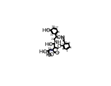 N#Cc1ccccc1OCC(/C(=C/C(=O)O)C(=O)O)C(O)NCC(O)c1cccc(O)c1